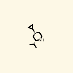 CC(C)[C@@H]1CN(C2CC2)CCN1